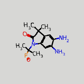 CC1(C)C(=O)N(C(C)(C)P=O)c2cc(N)c(N)cc21